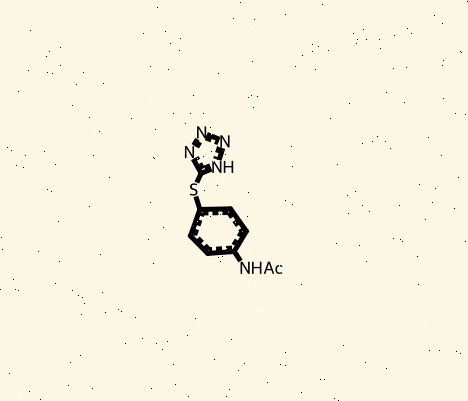 CC(=O)Nc1ccc(Sc2nnn[nH]2)cc1